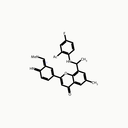 CN/C=C1/C=C(c2cc(=O)c3cc(C)cc(C(C)Nc4ccc(F)cc4C(C)=O)c3o2)C=CC1=N